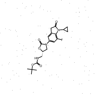 CC(C)(C)OC(=O)NC[C@H]1CN(c2cc(F)c3c(c2)CC(=O)N3C2CC2)C(=O)O1